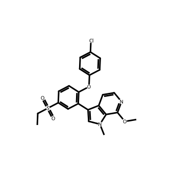 CCS(=O)(=O)c1ccc(Oc2ccc(Cl)cc2)c(-c2cn(C)c3c(OC)nccc23)c1